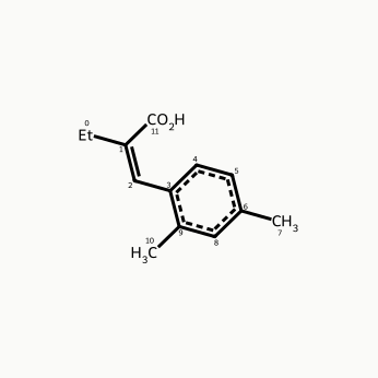 CCC(=Cc1ccc(C)cc1C)C(=O)O